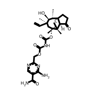 C=C[C@]1(C)C[C@@H](OC(=O)NC(=O)OCc2ncc(C(N)=O)c(N)n2)[C@]2(C)[C@H](C)CC[C@]3(CCC(=O)[C@H]32)[C@@H](C)[C@@H]1O